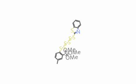 CO[Si](OC)(OC)c1cc(C)ccc1SSSSSSc1nc2ccccc2s1